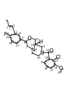 C/C=C/c1cc([C@@H]2CN3CCN(C(=O)c4cccc(OC)c4Cl)C[C@H]3CO2)ccc1F